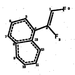 F/C=C(\F)c1cccc2ccccc12